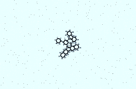 c1ccc(-c2cc3c4c(c2)-n2c5cc6ccccc6cc5c5cc6ccccc6c(c52)B4c2cccc4c5ccccc5n-3c24)cc1